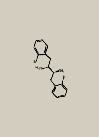 N[C@@H](Cc1ccccc1Br)[C@@H](N)Cc1ccccc1Br